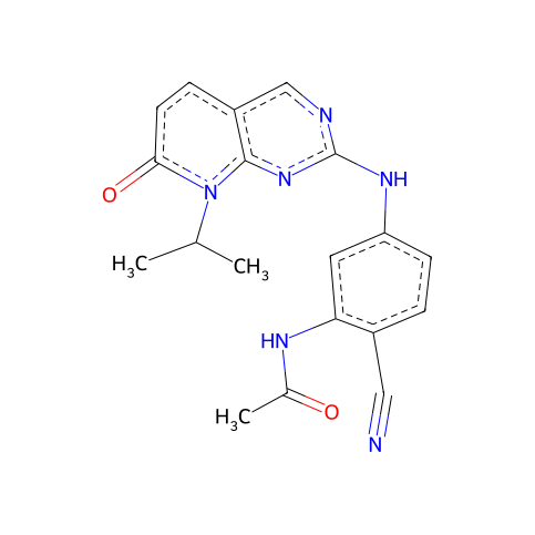 CC(=O)Nc1cc(Nc2ncc3ccc(=O)n(C(C)C)c3n2)ccc1C#N